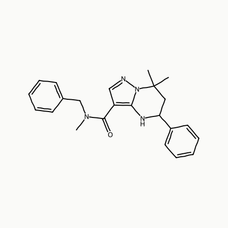 CN(Cc1ccccc1)C(=O)c1cnn2c1NC(c1ccccc1)CC2(C)C